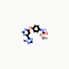 Cn1ncnc1-c1cc(Oc2ccc(NC(=O)OC(C)(C)C)cc2)ncn1